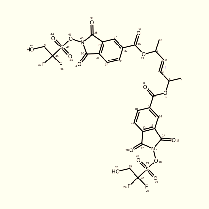 CC(/C=C/C(C)OC(=O)c1ccc2c(c1)C(=O)N(OS(=O)(=O)C(F)(F)CO)C2=O)OC(=O)c1ccc2c(c1)C(=O)N(OS(=O)(=O)C(F)(F)CO)C2=O